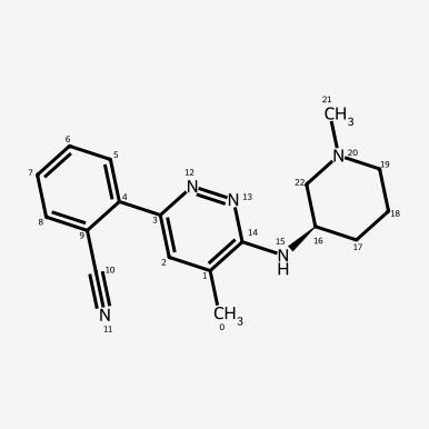 Cc1cc(-c2ccccc2C#N)nnc1N[C@@H]1CCCN(C)C1